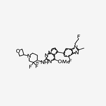 COc1nc(N[C@@H]2CCN(C3COC3)CC2(F)F)nn2ccc(-c3cc(F)c4nc(C)n(CCF)c4c3)c12